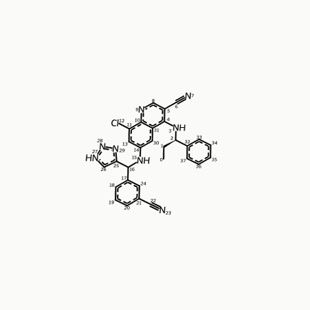 CC[C@@H](Nc1c(C#N)cnc2c(Cl)cc(NC(c3cccc(C#N)c3)c3c[nH]nn3)cc12)c1ccccc1